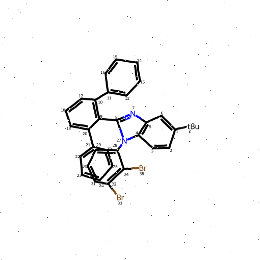 CC(C)(C)c1ccc2c(c1)nc(-c1c(-c3ccccc3)cccc1-c1ccccc1)n2-c1cccc(Br)c1Br